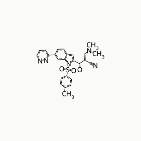 Cc1ccc(S(=O)(=O)n2c(C(=O)C(C#N)=CN(C)C)cc3ccc(-c4cccnn4)cc32)cc1